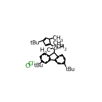 [CH2]=[Zr+2]([CH3])([CH3])([C]1=CC(C(C)(C)C)=CC1C)[CH]1c2ccc(C(C)(C)C)cc2-c2cc(C(C)(C)C)ccc21.[Cl-].[Cl-]